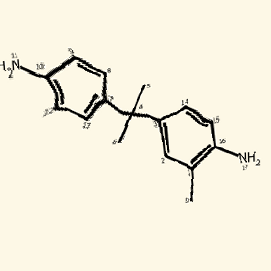 Cc1cc(C(C)(C)c2ccc(N)cc2)ccc1N